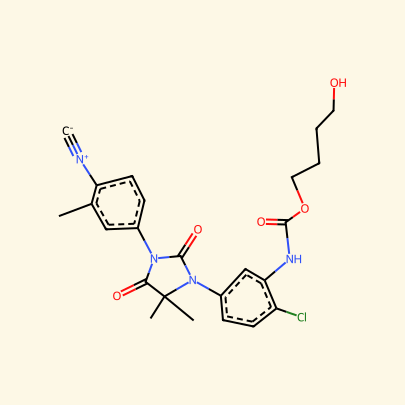 [C-]#[N+]c1ccc(N2C(=O)N(c3ccc(Cl)c(NC(=O)OCCCCO)c3)C(C)(C)C2=O)cc1C